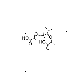 CC(C)C(=O)C(C)(C)C=O.CC(C)C(=O)O.CC(C)C(=O)O